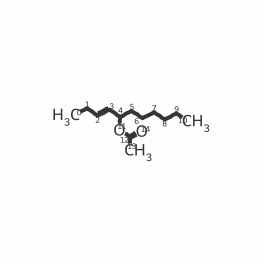 CCC=CC(CCCCCC)OC(C)=O